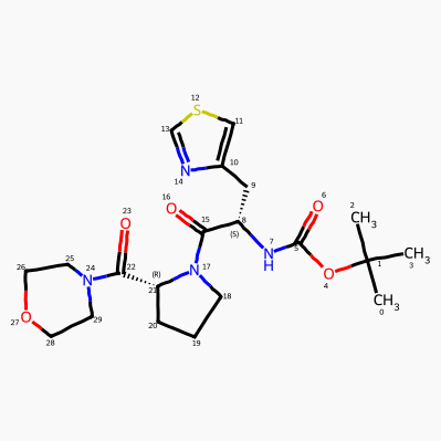 CC(C)(C)OC(=O)N[C@@H](Cc1cscn1)C(=O)N1CCC[C@@H]1C(=O)N1CCOCC1